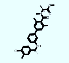 COC(=O)[C@H](C)N(C)C(=O)c1c(C)cc(-c2cccc(N[C@H](C)c3ccc(Cl)c(C)c3)c2)cc1C